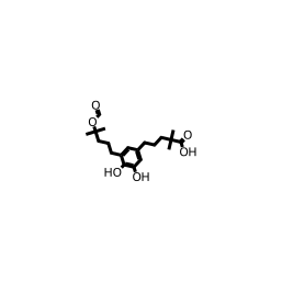 CC(C)(CCCc1cc(CCCC(C)(C)C(=O)O)cc(O)c1O)OC=O